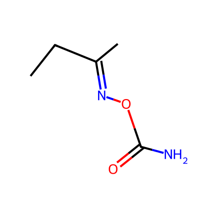 CCC(C)=NOC(N)=O